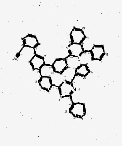 N#Cc1ccccc1-c1ccc(-c2cccc(-c3nc(-c4ccccc4)nc(-c4ccccc4)n3)c2)c(-c2cccc(-c3nc(-c4ccccc4)c4ccccc4n3)c2)c1